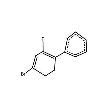 FC1=C(c2ccccc2)CCC(Br)=C1